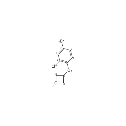 Clc1cc(Br)ccc1OC1COC1